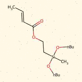 CC=CC(=O)OCC[Si](C)(OCCCC)OCCCC